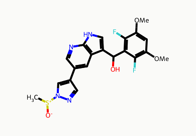 COc1cc(OC)c(F)c(C(O)c2c[nH]c3ncc(-c4cnn([S+](C)[O-])c4)cc23)c1F